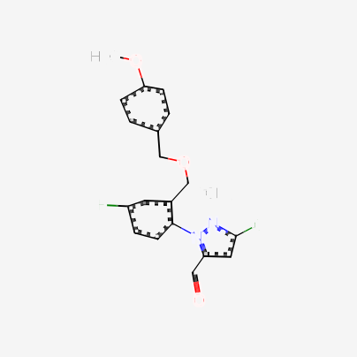 COc1ccc(CO[C@H](C)c2cc(F)ccc2-n2nc(Cl)cc2C=O)cc1